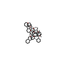 CCC(C1=N/C(c2cccc(-c3ccccc3)c2)=C/CC(C)/C(c2c(-n3c4cc5ccccc5cc4c4cc5ccccc5cc43)ccc3c2oc2ccccc23)=N\1)c1ccccc1-c1ccccc1C